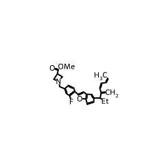 C=C(/C=C\C=C/C)C(CC)c1ccc2oc(-c3ccc(CN4CC(C(=O)OC)C4)cc3F)cc2c1